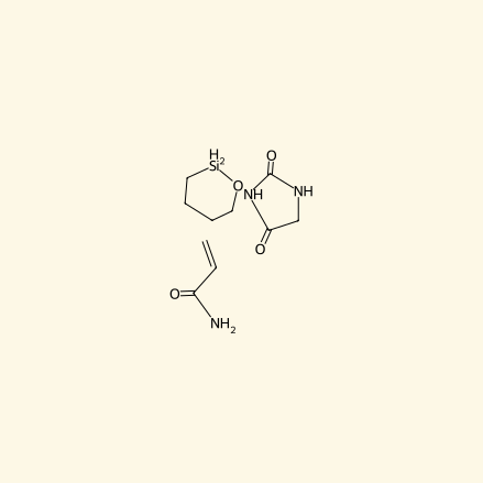 C1CC[SiH2]OC1.C=CC(N)=O.O=C1CNC(=O)N1